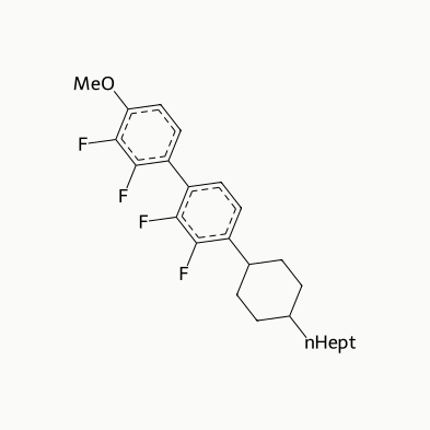 CCCCCCCC1CCC(c2ccc(-c3ccc(OC)c(F)c3F)c(F)c2F)CC1